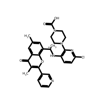 Cc1cc([C@@H](C)Nc2ccc(Cl)nc2N2CCN(C(=O)O)CC2)c2oc(-c3cccnc3)c(C)c(=O)c2c1